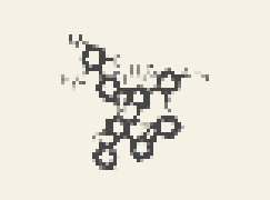 Cc1cc(C)c(-c2ccc3c(c2)c2cc(-c4c(C)cc(C)cc4C)cc4c2n3-c2cc3oc5ccccc5c3c3c2B4n2c4ccccc4c4cccc-3c42)c(C)c1